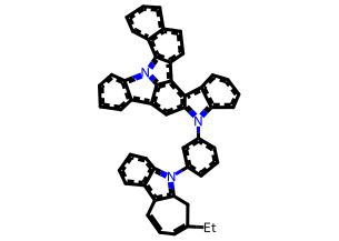 CCC1=CC=Cc2c(n(-c3cccc(-n4c5ccccc5c5c6c7ccc8ccccc8c7n7c8ccccc8c(cc54)c67)c3)c3ccccc23)C1